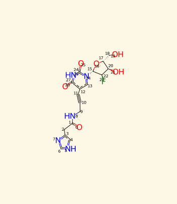 O=C(Cc1c[nH]cn1)NCC#Cc1cn([C@@H]2O[C@H](CO)[C@@H](O)[C@H]2F)c(=O)[nH]c1=O